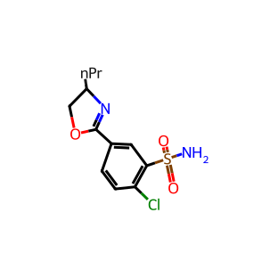 CCCC1COC(c2ccc(Cl)c(S(N)(=O)=O)c2)=N1